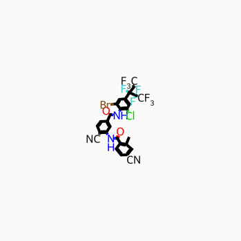 Cc1cc(C#N)ccc1C(=O)Nc1cc(C(=O)Nc2c(Cl)cc(C(F)(CC(F)(F)F)C(F)(F)C(F)(F)F)cc2Br)ccc1C#N